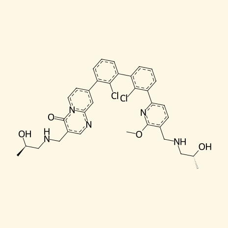 COc1nc(-c2cccc(-c3cccc(-c4ccn5c(=O)c(CNC[C@@H](C)O)cnc5c4)c3Cl)c2Cl)ccc1CNC[C@@H](C)O